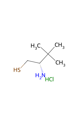 CC(C)(C)[C@H](N)CS.Cl